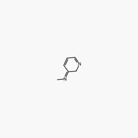 CN=C1C=CC=NC1